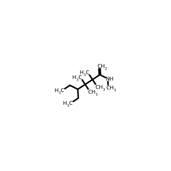 C=C(NC)C(C)(C)C(C)(C)C(CC)CC